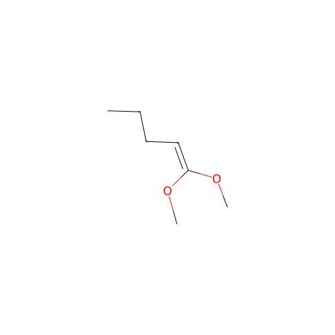 CCCC=C(OC)OC